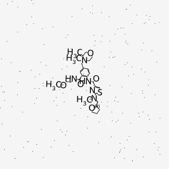 COCCNC(=O)c1cc(CN2CCOCC2(C)C)ccc1NC(=O)c1csc(N(C)C[C@H]2CCCO2)n1